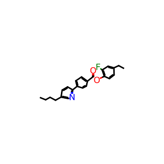 CCCCc1ccc(-c2ccc(C(=O)Oc3ccc(CC)cc3F)cc2)nc1